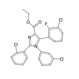 CCOC(=O)c1nc(-c2ccccc2Cl)n(-c2cccc(Cl)c2)c1-c1cccc(Cl)c1F